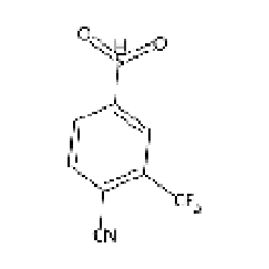 N#Cc1ccc([SH](=O)=O)cc1C(F)(F)F